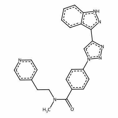 CN(CCc1ccncc1)C(=O)c1ccc(-n2cc(-c3n[nH]c4ccccc34)nn2)cc1